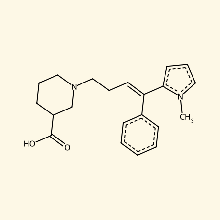 Cn1cccc1/C(=C/CCN1CCCC(C(=O)O)C1)c1ccccc1